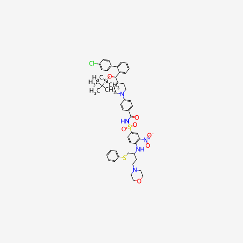 CC(C)(C)[Si](C)(C)O[C@@H](c1ccccc1-c1ccc(Cl)cc1)C1CCN(c2ccc(C(=O)NS(=O)(=O)c3ccc(NC(CCN4CCOCC4)CSc4ccccc4)c([N+](=O)[O-])c3)cc2)CC1